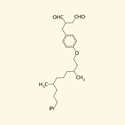 CC(C)CCCC(C)CCCC(C)CCOc1ccc(CC([C]=O)C[C]=O)cc1